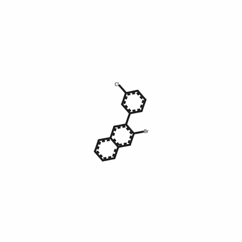 Clc1cccc(-c2cc3ccccc3cc2Br)c1